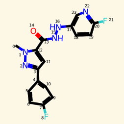 Cn1nc(-c2ccc(F)cc2)cc1C(=O)NNc1ccc(F)nc1